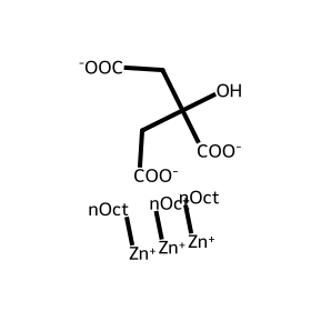 CCCCCCC[CH2][Zn+].CCCCCCC[CH2][Zn+].CCCCCCC[CH2][Zn+].O=C([O-])CC(O)(CC(=O)[O-])C(=O)[O-]